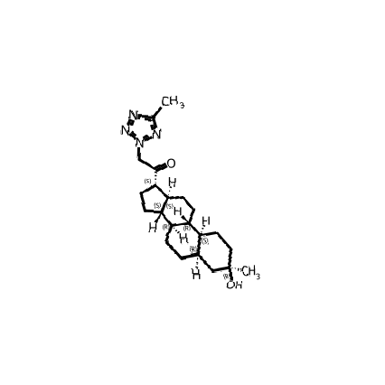 Cc1nnn(CC(=O)[C@H]2CC[C@H]3[C@@H]4CC[C@@H]5C[C@](C)(O)CC[C@@H]5[C@H]4CC[C@@H]32)n1